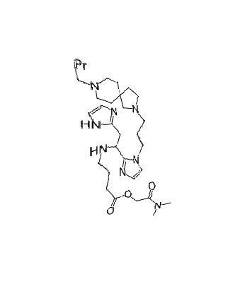 CC(C)CN1CCC2(CC1)CCN(CCCn1ccnc1C(Cc1ncc[nH]1)NCCCC(=O)OCC(=O)N(C)C)C2